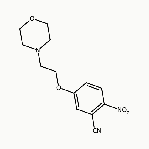 N#Cc1cc(OCCN2CCOCC2)ccc1[N+](=O)[O-]